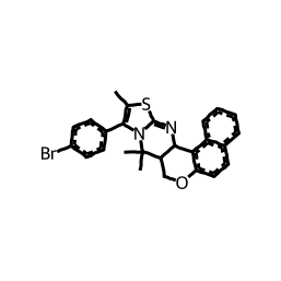 CC1=C(c2ccc(Br)cc2)N2C(=NC3c4c(ccc5ccccc45)OCC3C2(C)C)S1